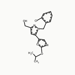 CC(C)Oc1ncc(-c2cc(CO)nn2Cc2ccccc2Cl)o1